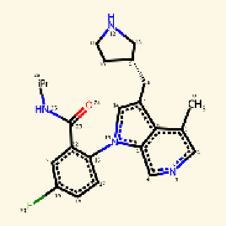 Cc1cncc2c1c(C[C@@H]1CCNC1)cn2-c1ccc(F)cc1C(=O)NC(C)C